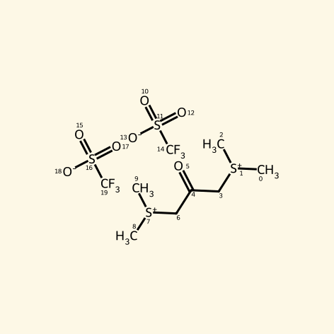 C[S+](C)CC(=O)C[S+](C)C.O=S(=O)([O-])C(F)(F)F.O=S(=O)([O-])C(F)(F)F